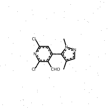 Cc1cnn(C)c1-c1cc(Cl)nc(Cl)c1C=O